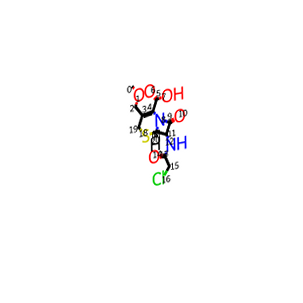 COCC1=C(C(=O)O)N2C(=O)C(NC(=O)CCl)[C@@H]2SC1